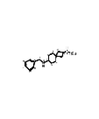 CC(C)(C)NC1CC2(CCC(NCc3ccccc3)CC2)C1